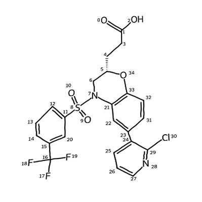 O=C(O)CC[C@H]1CN(S(=O)(=O)c2cccc(C(F)(F)F)c2)c2cc(-c3cccnc3Cl)ccc2O1